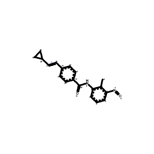 Cc1c(N=O)cccc1NC(=O)c1ccc(/C=C/C2CC2)cc1